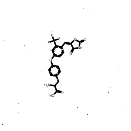 NC(Cc1ccc(Oc2ccc(C=C3SC(=O)NC3=O)c(C(F)(F)F)c2)cc1)C(=O)O